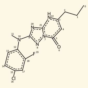 CCCc1cc(=O)n2nc(N(C)c3ccc(Cl)cc3F)nc2[nH]1